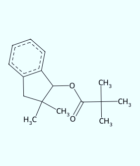 CC(C)(C)C(=O)OC1c2ccccc2CC1(C)C